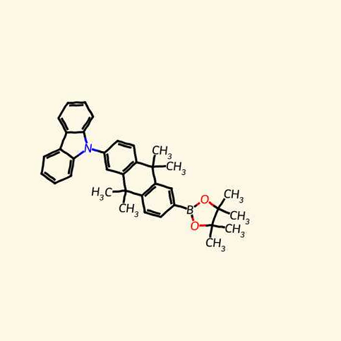 CC1(C)c2ccc(-n3c4ccccc4c4ccccc43)cc2C(C)(C)c2ccc(B3OC(C)(C)C(C)(C)O3)cc21